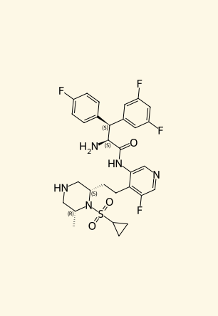 C[C@@H]1CNC[C@H](CCc2c(F)cncc2NC(=O)[C@@H](N)[C@@H](c2ccc(F)cc2)c2cc(F)cc(F)c2)N1S(=O)(=O)C1CC1